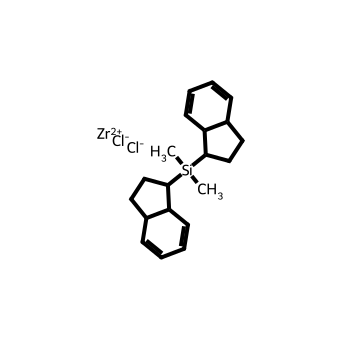 C[Si](C)(C1CCC2C=CC=CC21)C1CCC2C=CC=CC21.[Cl-].[Cl-].[Zr+2]